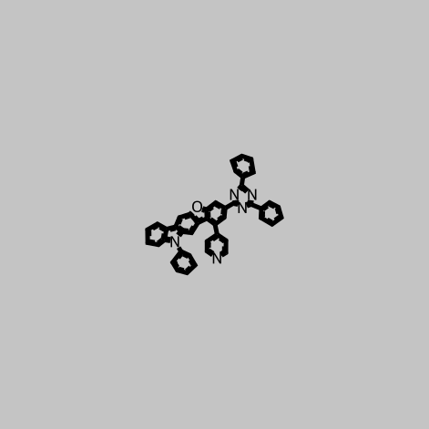 c1ccc(-c2nc(-c3ccccc3)nc(-c3cc(-c4ccncc4)c4c(c3)oc3cc5c6ccccc6n(-c6ccccc6)c5cc34)n2)cc1